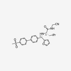 CC(C)C[C@H](N[C@@H](c1ccc(-c2ccc(S(C)(=O)=O)cc2)cc1)c1ccco1)C(=O)NCC#N